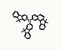 CC1(C)c2ccccc2-c2ccc(N(c3ccc4c(c3)C(C)(C)c3ccccc3-4)c3ccc4ccc5c(c4c3)-c3ccccc3C5(C)C)cc21